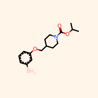 Bc1cccc(OCC2CCN(C(=O)OC(C)C)CC2)c1